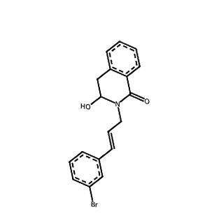 O=C1c2ccccc2CC(O)N1C/C=C/c1cccc(Br)c1